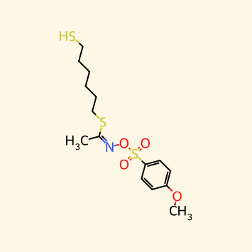 COc1ccc(S(=O)(=O)O/N=C(/C)SCCCCCCS)cc1